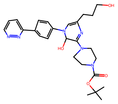 CC(C)(C)OC(=O)N1CCN(C2=NC(CCCO)=CN(c3ccc(-c4cccnn4)cc3)C2O)CC1